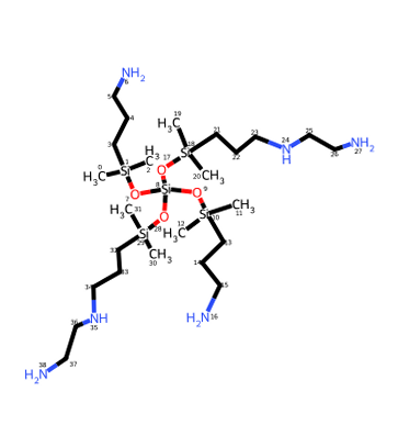 C[Si](C)(CCCN)O[Si](O[Si](C)(C)CCCN)(O[Si](C)(C)CCCNCCN)O[Si](C)(C)CCCNCCN